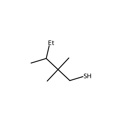 CCC(C)C(C)(C)CS